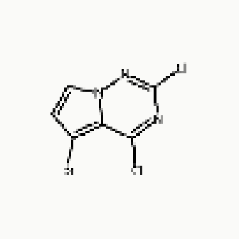 Clc1nc(Cl)c2c(Br)ccn2n1